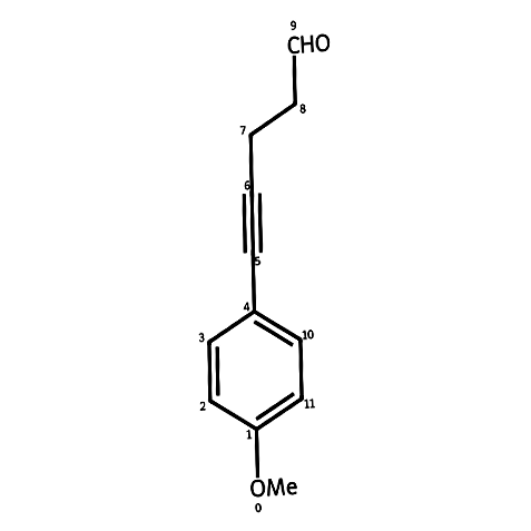 COc1ccc(C#CCCC=O)cc1